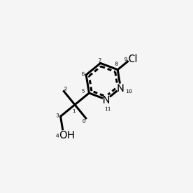 CC(C)(CO)c1ccc(Cl)nn1